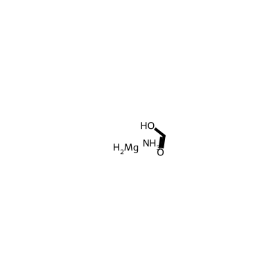 N.O=CO.[MgH2]